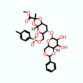 COC(=O)C1(C)OC2C[C@H](O[C@@H]3OC4COC(c5ccccc5)O[C@@H]4C(O)C3O)C(COS(=O)(=O)c3ccc(C)cc3)O[C@@H]2O1